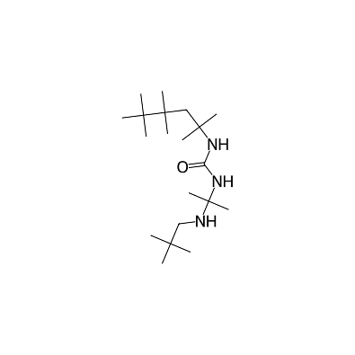 CC(C)(C)CNC(C)(C)NC(=O)NC(C)(C)CC(C)(C)C(C)(C)C